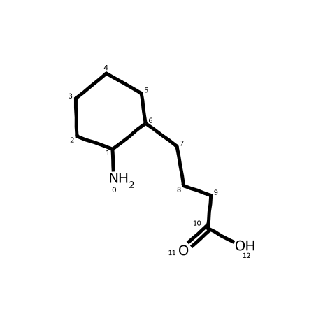 NC1CCCCC1CCCC(=O)O